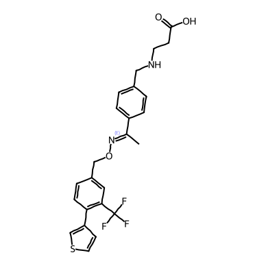 C/C(=N\OCc1ccc(-c2ccsc2)c(C(F)(F)F)c1)c1ccc(CNCCC(=O)O)cc1